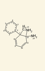 CC1(c2ccccc2)C=CC=CC1(N)N